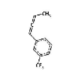 CC=C=Cc1cccc(C(F)(F)F)c1